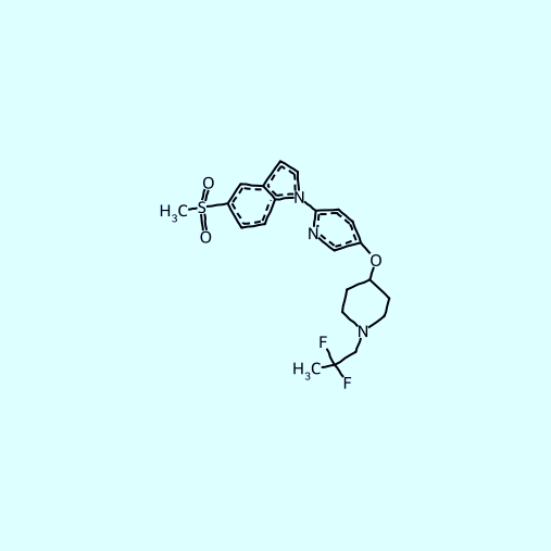 CC(F)(F)CN1CCC(Oc2ccc(-n3ccc4cc(S(C)(=O)=O)ccc43)nc2)CC1